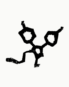 CC(C)c1nc(-c2ccc(F)cc2)c(-c2ccc(F)cc2)n1C=CC=O